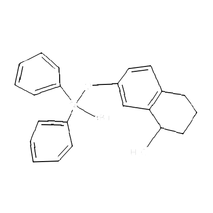 C[C]1CCCc2ccc(O[Si](c3ccccc3)(c3ccccc3)C(C)(C)C)cc21